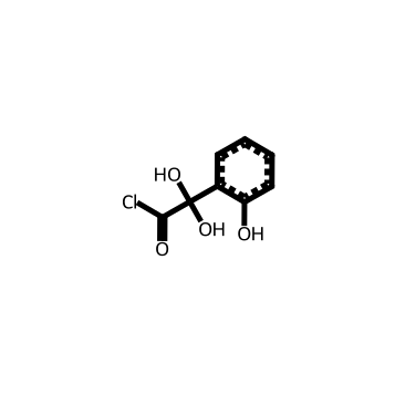 O=C(Cl)C(O)(O)c1ccccc1O